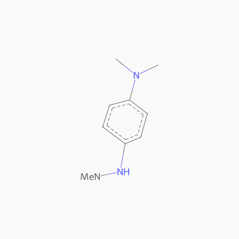 CNNc1ccc(N(C)C)cc1